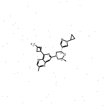 Cc1cnc2c(C34CC(C(F)(F)F)(C3)C4)nc(N3C[C@H](C)O[C@@H](c4cnn(C5CC5)c4)C3)cc2n1